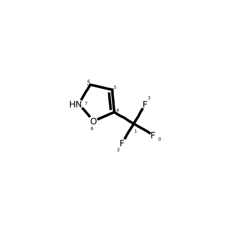 FC(F)(F)C1=C[CH]NO1